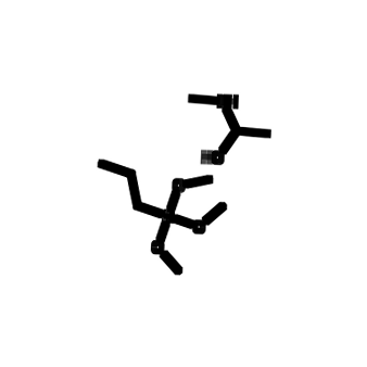 CCC[Si](OC)(OC)OC.CNC(C)O